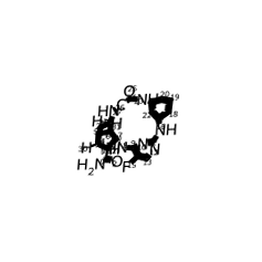 NC(=O)[C@H]1[C@H]2C[C@H]3[C@H]1Nc1nc(ncc1F)Nc1cccc(c1)NC(=O)CN[C@@H]3C2